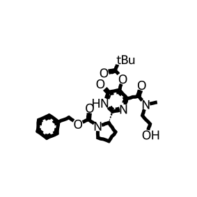 CN(CCO)C(=O)c1nc([C@@H]2CCCN2C(=O)OCc2ccccc2)[nH]c(=O)c1OC(=O)C(C)(C)C